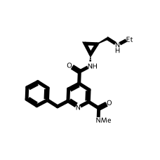 CCNC[C@@H]1C[C@H]1NC(=O)c1cc(Cc2ccccc2)nc(C(=O)NC)c1